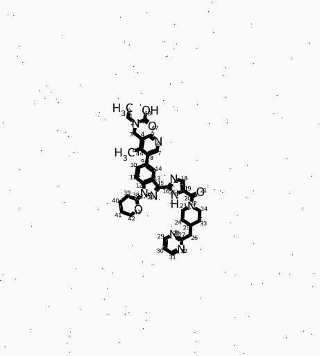 CCN(Cc1cncc(-c2ccc3c(c2)c(-c2ncc(C(=O)N4CCC(Cc5ncccn5)CC4)[nH]2)nn3C2CCCCO2)c1C)C(=O)O